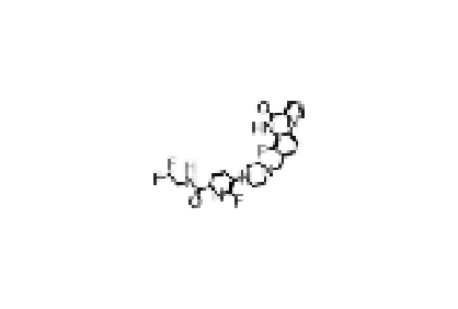 O=C(NCC(F)F)c1ccc(N2CCN(Cc3ccc4c([nH]c(=O)c5cccn54)c3F)CC2)c(F)n1